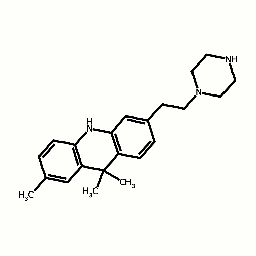 Cc1ccc2c(c1)C(C)(C)c1ccc(CCN3CCNCC3)cc1N2